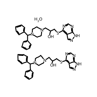 O.OC(CSc1ncnc2[nH]ncc12)CN1CCN(C(c2ccccc2)c2ccccc2)CC1.OC(CSc1ncnc2[nH]ncc12)CN1CCN(C(c2ccccc2)c2ccccc2)CC1